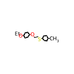 CCOc1ccc(OCCSc2ccc(C)cc2)cc1